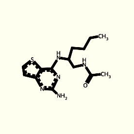 CCCCC(CNC(C)=O)Nc1nc(N)nc2ccsc12